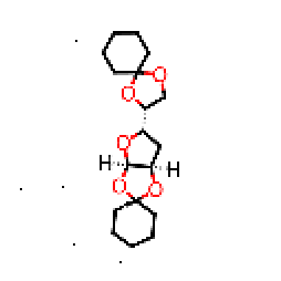 C1CCC2(CC1)OCC([C@@H]1C[C@H]3OC4(CCCCC4)O[C@H]3O1)O2